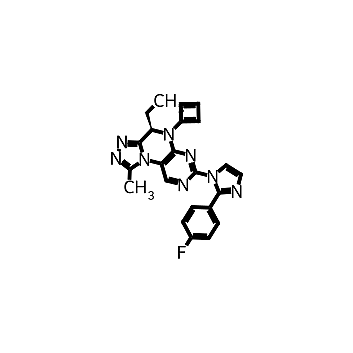 CC[C@@H]1c2nnc(C)n2-c2cnc(-n3ccnc3-c3ccc(F)cc3)nc2N1C1=CC=C1